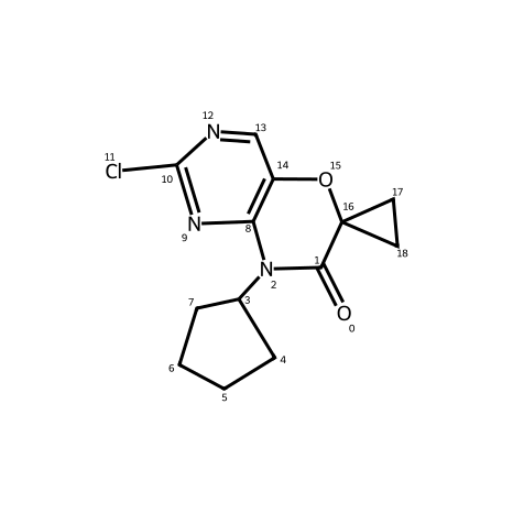 O=C1N(C2CCCC2)c2nc(Cl)ncc2OC12CC2